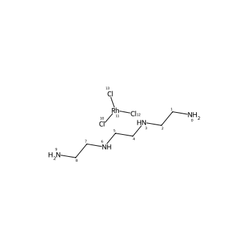 NCCNCCNCCN.[Cl][Rh]([Cl])[Cl]